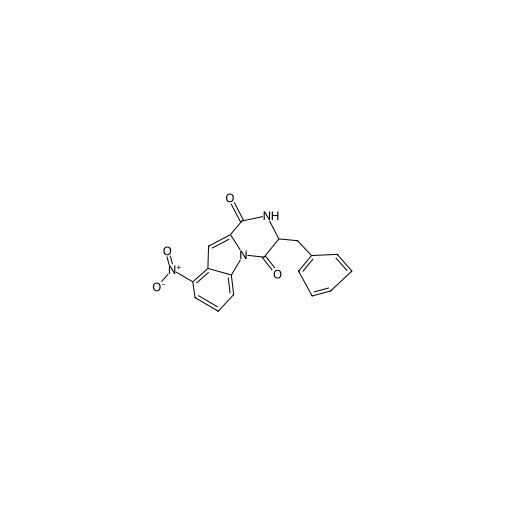 O=C1NC(Cc2ccccc2)C(=O)n2c1cc1c([N+](=O)[O-])cccc12